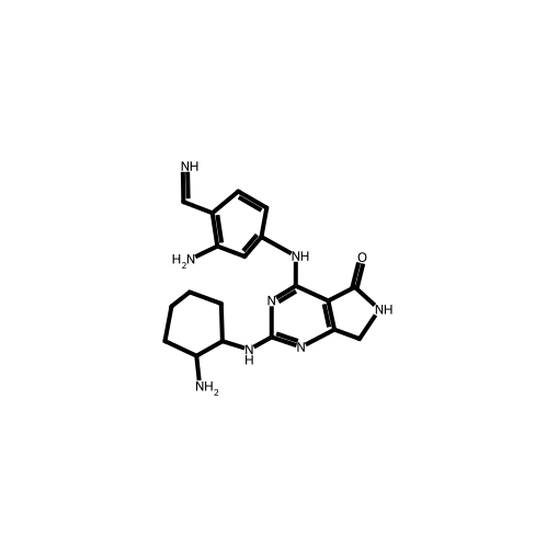 N=Cc1ccc(Nc2nc(NC3CCCCC3N)nc3c2C(=O)NC3)cc1N